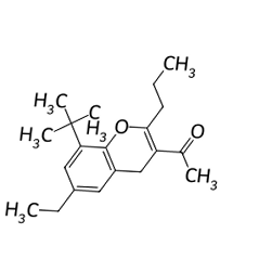 CCCC1=C(C(C)=O)Cc2cc(CC)cc(C(C)(C)C)c2O1